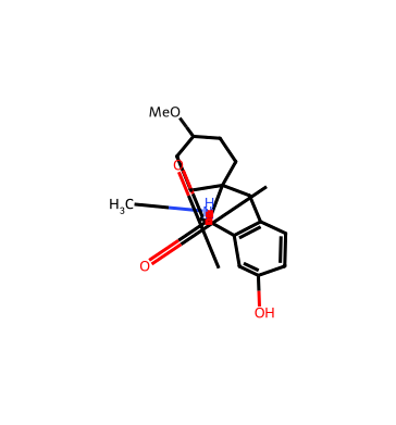 COC1CCC2(CC1)Cc1ccc(O)cc1C21NC(=O)N(C)C1=O